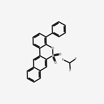 FC(F)F.O=S1(=O)Oc2c(-c3ccccc3)cccc2-c2cc3ccccc3cc21